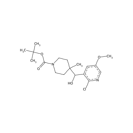 COc1cnc(Cl)c(C(O)C2(C)CCN(C(=O)OC(C)(C)C)CC2)c1